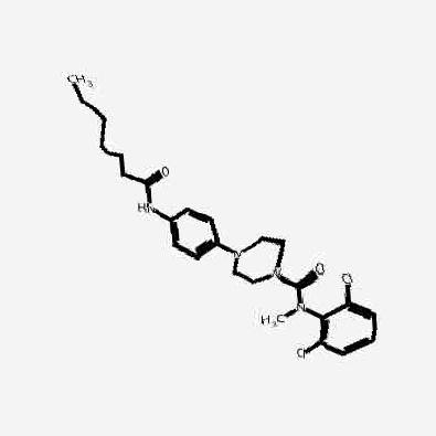 CCCCCCC(=O)Nc1ccc(N2CCN(C(=O)N(C)c3c(Cl)cccc3Cl)CC2)cc1